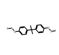 CC(C)(c1ccc(OSF)cc1)c1ccc(OSF)cc1